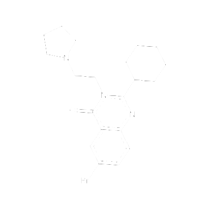 O=c1c2cc(Br)ccc2nc(C2CCCCC2)n1CCN1CCCC1